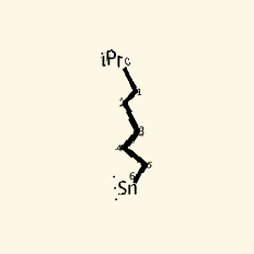 CC(C)CCCC[CH2][Sn]